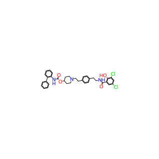 O=C(Nc1ccccc1-c1ccccc1)OC1CCN(CCc2ccc(CCNC(=O)c3cc(Cl)cc(Cl)c3O)cc2)CC1